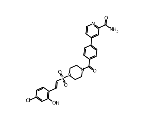 NC(=O)c1cc(-c2ccc(C(=O)N3CCN(S(=O)(=O)C=Cc4ccc(Cl)cc4O)CC3)cc2)ccn1